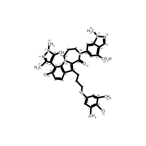 Cc1cc(OCCCc2c3n(c4c(-c5c(C)nn(C)c5C)c(Cl)ccc24)CCCN(c2cc(C(=O)O)c4cnn(C)c4c2)C3=O)cc(C)c1Cl